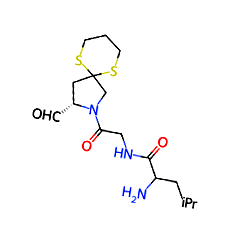 CC(C)CC(N)C(=O)NCC(=O)N1CC2(C[C@H]1C=O)SCCCS2